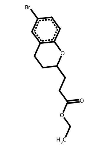 CCOC(=O)CCC1CCc2cc(Br)ccc2O1